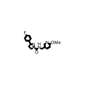 COc1ccc(CNC(=O)N2CCC(c3ccc(F)cc3)=N2)cn1